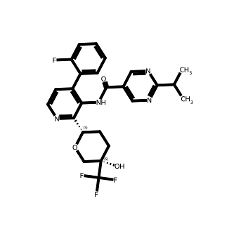 CC(C)c1ncc(C(=O)Nc2c(-c3ccccc3F)ccnc2[C@@H]2CC[C@@](O)(C(F)(F)F)CO2)cn1